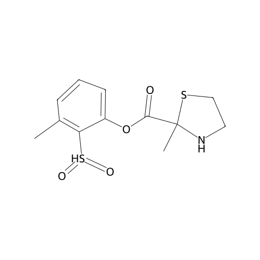 Cc1cccc(OC(=O)C2(C)NCCS2)c1[SH](=O)=O